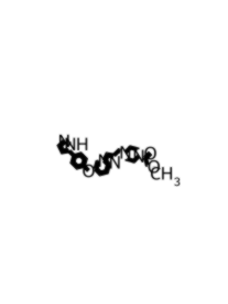 COCC(=O)N1CCN(Cc2cn3cc(Oc4ccc(-c5ccn[nH]5)cc4)ccc3n2)CC1